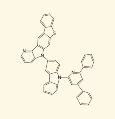 c1ccc(-c2cc(-c3ccccc3)nc(-n3c4ccccc4c4cc(-n5c6cc7sc8ccccc8c7cc6c6ncccc65)ccc43)c2)cc1